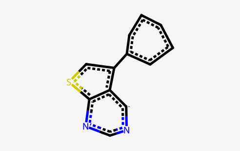 [c]1ncnc2scc(-c3ccccc3)c12